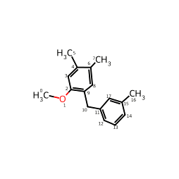 COc1cc(C)c(C)cc1Cc1cccc(C)c1